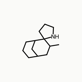 CC1CC2CCCC(C2)C12CCCN2